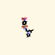 CC(C)=C/C(=C\C=N\S(=O)(=O)c1ccc([N+](=O)[O-])cc1)N1CCCC1